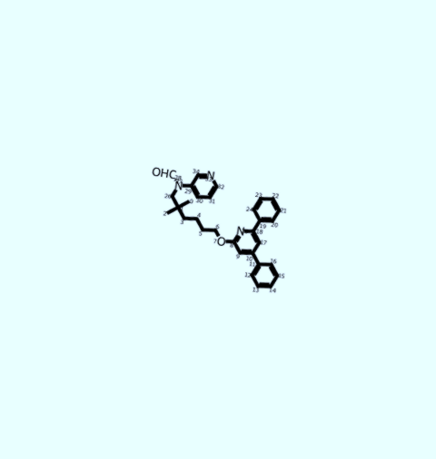 CC(C)(CCCCOc1cc(-c2ccccc2)cc(-c2ccccc2)n1)CN(C=O)c1cccnc1